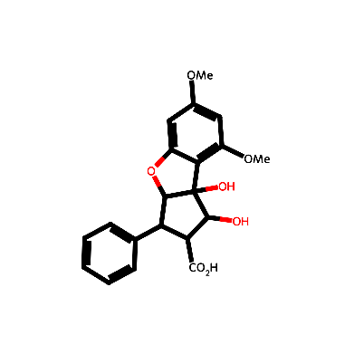 COc1cc(OC)c2c(c1)OC1C(c3ccccc3)C(C(=O)O)C(O)C21O